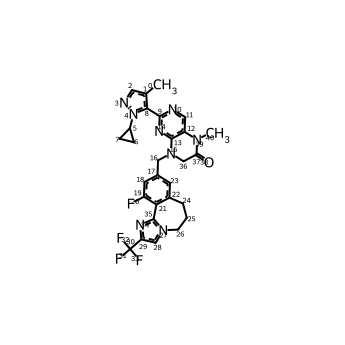 Cc1cnn(C2CC2)c1-c1ncc2c(n1)N(Cc1cc(F)c3c(c1)CCCn1cc(C(F)(F)F)nc1-3)CC(=O)N2C